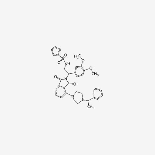 COc1ccc(C(CNS(=O)(=O)c2cccs2)N2C(=O)c3cccc(N4CCN([C@H](C)c5ccccc5)CC4)c3C2=O)cc1OC